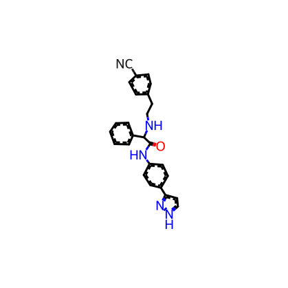 N#Cc1ccc(CCNC(C(=O)Nc2ccc(-c3cc[nH]n3)cc2)c2ccccc2)cc1